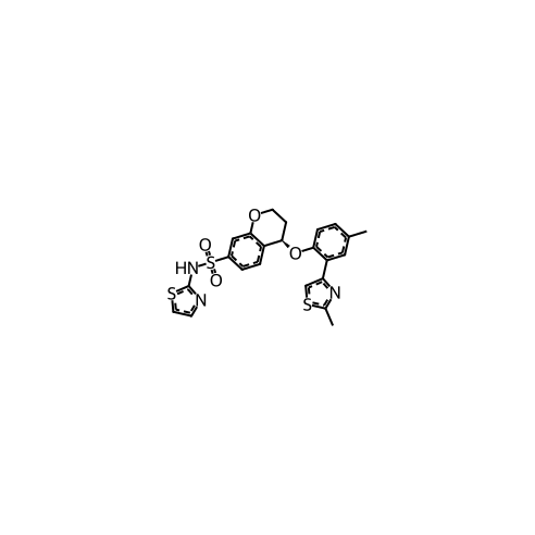 Cc1ccc(O[C@@H]2CCOc3cc(S(=O)(=O)Nc4nccs4)ccc32)c(-c2csc(C)n2)c1